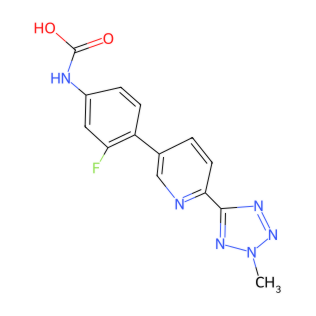 Cn1nnc(-c2ccc(-c3ccc(NC(=O)O)cc3F)cn2)n1